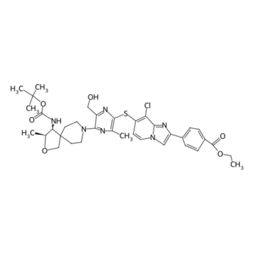 CCOC(=O)c1ccc(-c2cn3ccc(Sc4nc(CO)c(N5CCC6(CC5)CO[C@@H](C)[C@H]6NC(=O)OC(C)(C)C)nc4C)c(Cl)c3n2)cc1